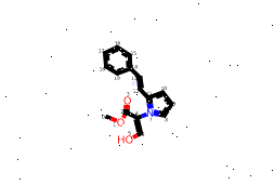 COC(=O)C(=CO)n1cccc1/C=C/c1ccccc1